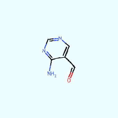 Nc1ncncc1C=O